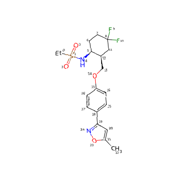 CCS(=O)(=O)N[C@H]1CCC(F)(F)C[C@H]1COc1ccc(-c2cc(C)on2)cc1